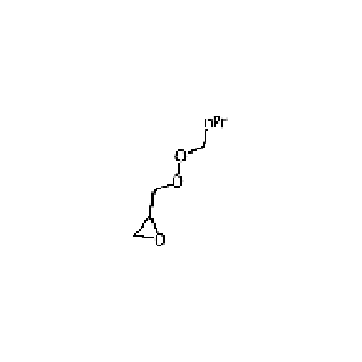 CCCCOOCC1CO1